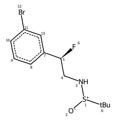 CC(C)(C)[S+]([O-])NC[C@H](F)c1cccc(Br)c1